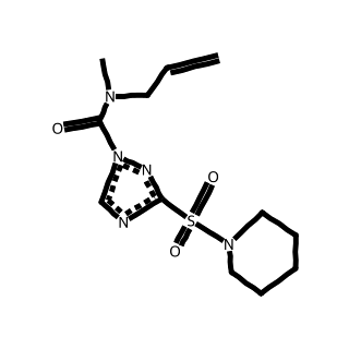 C=CCN(C)C(=O)n1cnc(S(=O)(=O)N2CCCCC2)n1